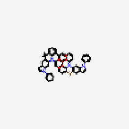 CC1(C)c2cc3ccn(-c4ccccc4)c3cc2N(c2cccc(-c3ccccc3N3c4ccccc4Sc4cc5ccn(-c6ccccc6)c5cc43)c2)c2c(-c3ccccc3)cccc21